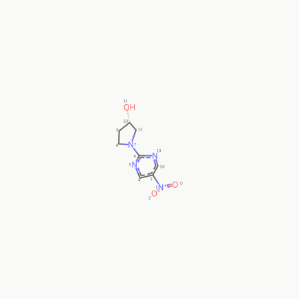 O=[N+]([O-])c1cnc(N2CC[C@H](O)C2)nc1